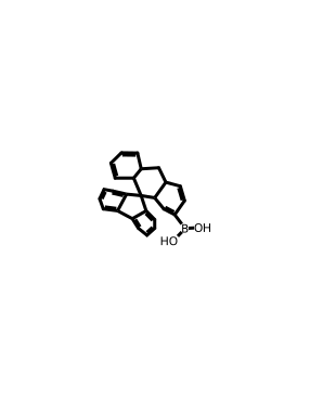 OB(O)C1=CC2C(C=C1)CC1C=CC=CC1C21c2ccccc2-c2ccccc21